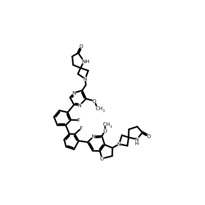 COc1nc(-c2cccc(-c3cccc(-c4cc5c(c(OC)n4)C(N4CC6(CCC(=O)N6)C4)CO5)c3F)c2F)cnc1CN1CC2(CCC(=O)N2)C1